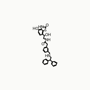 O=C(Cc1cccc(CNCC(c2ccccc2)c2ccccc2)c1)NC[C@H](O)c1ccc(O)c2[nH]c(=O)sc12